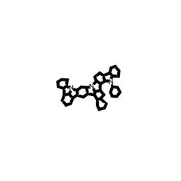 c1ccc(-n2c3ccccc3c3ccc4c(c5cc6ccccc6c6c7cc8c9cccc%10c%11ccccc%11n(c8cc7n4c56)c%109)c32)cc1